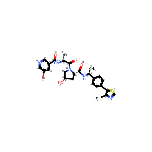 Cc1ncsc1-c1ccc([C@H](C)NC(=O)[C@@H]2C[C@@H](O)CN2C(=O)[C@@H](NC(=O)c2cncc(Br)c2)C(C)(C)C)cc1